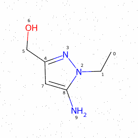 CCn1nc(CO)cc1N